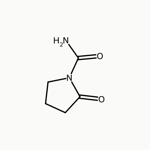 NC(=O)N1CCCC1=O